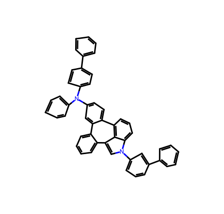 c1ccc(-c2ccc(N(c3ccccc3)c3ccc4c(c3)-c3ccccc3-c3cn(-c5cccc(-c6ccccc6)c5)c5cccc-4c35)cc2)cc1